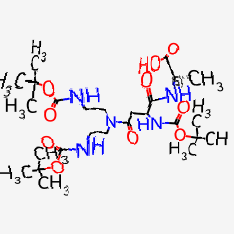 C[C@H](NC(=O)C(CC(=O)N(CCNC(=O)OC(C)(C)C)CCNC(=O)OC(C)(C)C)NC(=O)OC(C)(C)C)C(=O)O